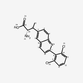 CC(c1ccc2nc(-c3c(Cl)cccc3Cl)ccc2c1)[C@H](N)C(=O)O